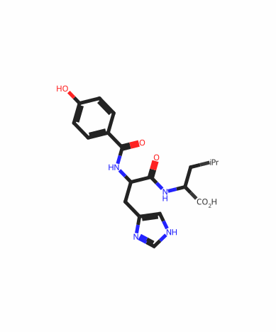 CC(C)CC(NC(=O)C(Cc1c[nH]cn1)NC(=O)c1ccc(O)cc1)C(=O)O